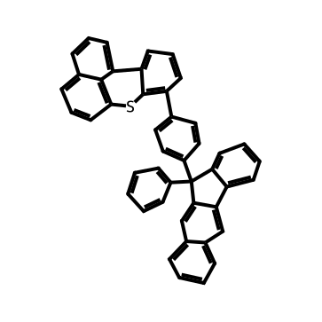 c1ccc(C2(c3ccc(-c4cccc5c4Sc4cccc6cccc-5c46)cc3)c3ccccc3-c3cc4ccccc4cc32)cc1